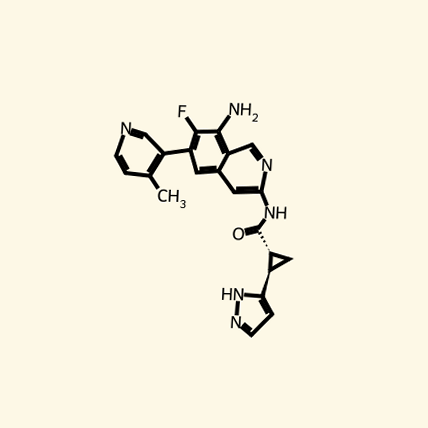 Cc1ccncc1-c1cc2cc(NC(=O)[C@@H]3C[C@H]3c3ccn[nH]3)ncc2c(N)c1F